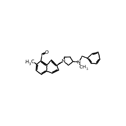 Cc1ccc2ccc(N3CCC(N(C)Cc4ccccc4)C3)cc2c1C=O